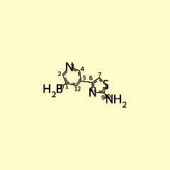 Bc1cncc(-c2csc(N)n2)c1